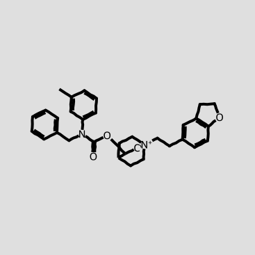 Cc1cccc(N(Cc2ccccc2)C(=O)OC2C[N+]3(CCc4ccc5c(c4)CCO5)CCC2CC3)c1